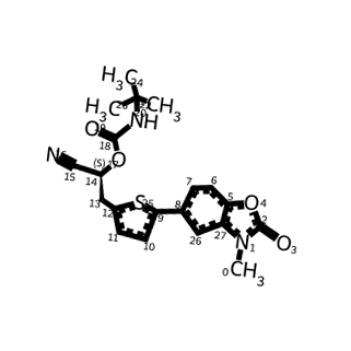 Cn1c(=O)oc2ccc(-c3ccc(C[C@@H](C#N)OC(=O)NC(C)(C)C)s3)cc21